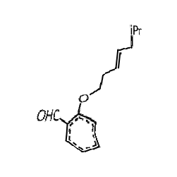 CC(C)CC=CCCOc1ccccc1C=O